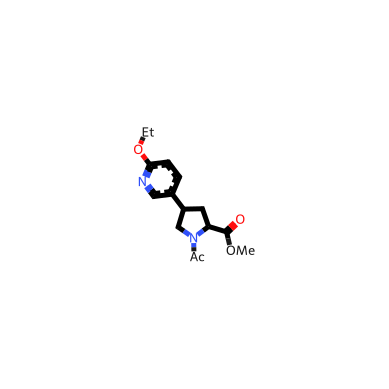 CCOc1ccc(C2CC(C(=O)OC)N(C(C)=O)C2)cn1